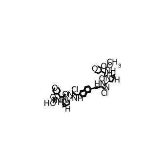 COC(=O)N[C@H](C(=O)N1[C@@H]2C[C@@H]2C[C@H]1c1nc(Cl)c(C#Cc2ccc3cc(-c4[nH]c([C@@H]5C[C@H]6C[C@H]6N5C(=O)[C@@H](NC(=O)O)C5CCOCC5)nc4Cl)ccc3c2)[nH]1)C1CCOCC1